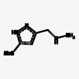 CSc1cc(CNN)n[nH]1